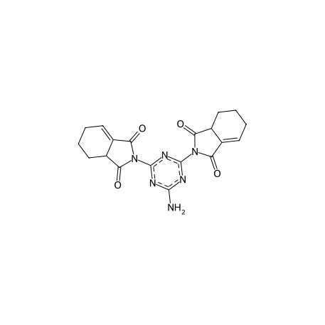 Nc1nc(N2C(=O)C3=CCCCC3C2=O)nc(N2C(=O)C3=CCCCC3C2=O)n1